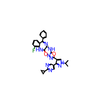 CC(C)n1cc(-c2nnc(N[C@H]3N=C(c4ccccc4)c4cccc(F)c4NC3=O)o2)c(-c2cnc(C3CC3)nc2)n1